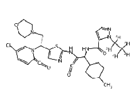 [2H]C([2H])([2H])C([2H])([2H])n1nccc1C(=O)N[C@H](C(=C=O)Nc1ncc([C@@H](CN2CCOCC2)N2C=C(Cl)C=CC2=C=O)s1)C1CCC(C)CC1